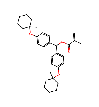 C=C(C)C(=O)OC(c1ccc(OC2(C)CCCCC2)cc1)c1ccc(OC2(C)CCCCC2)cc1